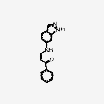 O=C(/C=C\Nc1ccc2cn[nH]c2c1)c1ccccc1